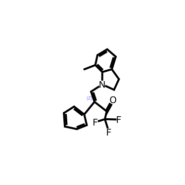 Cc1cccc2c1N(/C=C(\C(=O)C(F)(F)F)c1ccccc1)CC2